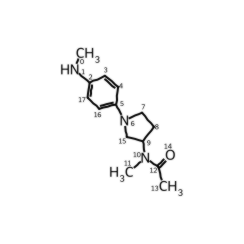 CNc1ccc(N2CCC(N(C)C(C)=O)C2)cc1